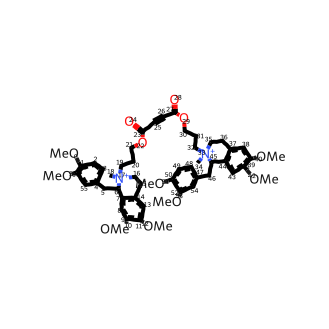 COc1ccc(CC2c3cc(OC)c(OC)cc3CC[N+]2(C)CCCOC(=O)C#CC(=O)OCCC[N+]2(C)CCc3cc(OC)c(OC)cc3C2Cc2ccc(OC)c(OC)c2)cc1OC